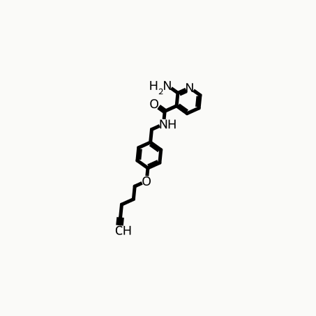 C#CCCCOc1ccc(CNC(=O)c2cccnc2N)cc1